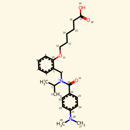 CC(C)N(Cc1ccccc1OCCCCCC(=O)O)C(=O)c1ccc(N(C)C)cc1